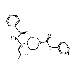 CC(C)C[C@@H](NC(=O)c1ccccc1)C1CCN(C(=O)Oc2ccccc2)CC1